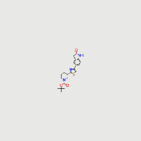 CC(C)(C)OC(=O)N1CCCC(c2nc(-c3ccc4c(c3)CC(=O)N4)cs2)C1